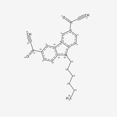 C#CC(=O)c1ccc2c(c1)c1cc(C(=O)C#C)ccc1n2CCCCCC